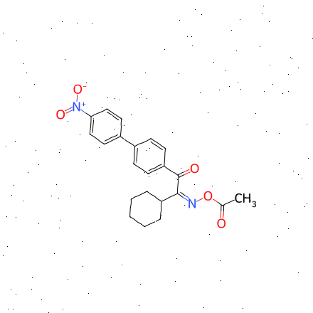 CC(=O)O/N=C(\C(=O)c1ccc(-c2ccc([N+](=O)[O-])cc2)cc1)C1CCCCC1